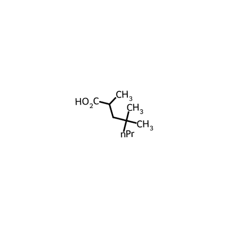 CCCC(C)(C)CC(C)C(=O)O